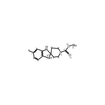 Cc1ccc2c(c1)NC1(CCN(C(=O)OC(C)(C)C)CC1)N2